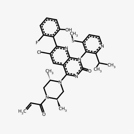 C=CC(=O)N1C[C@H](C)N(c2nc(=O)n(-c3c(SC)ccnc3C(C)C)c3nc(-c4c(O)cccc4F)c(Cl)cc23)C[C@H]1C